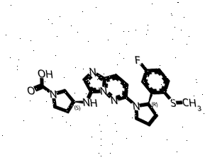 CSc1ccc(F)cc1[C@H]1CCCN1c1ccc2ncc(N[C@H]3CCN(C(=O)O)C3)n2n1